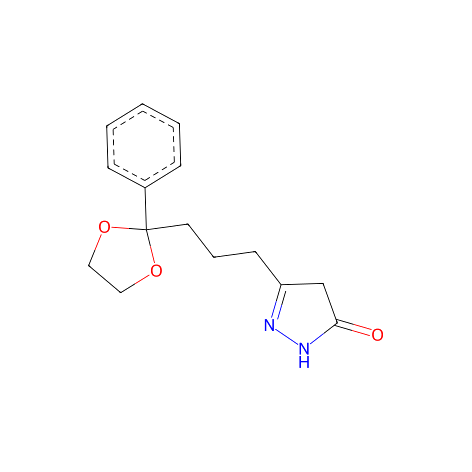 O=C1CC(CCCC2(c3ccccc3)OCCO2)=NN1